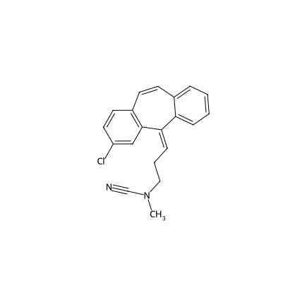 CN(C#N)CCC=C1c2ccccc2C=Cc2ccc(Cl)cc21